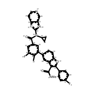 CNC(=O)c1c(-c2ccc(F)cc2)oc2ccc(-c3cc(C(=O)N(c4nc5cnccc5o4)C4CC4)cc(F)c3C)cc12